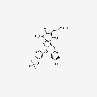 Cc1ncc(Cn2c(Oc3cccc(OC(F)(F)F)c3)nc3c2c(=O)n(CCCO)c(=O)n3C)cn1